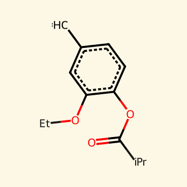 [CH]c1ccc(OC(=O)C(C)C)c(OCC)c1